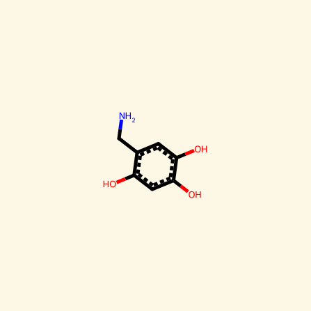 NCc1cc(O)c(O)cc1O